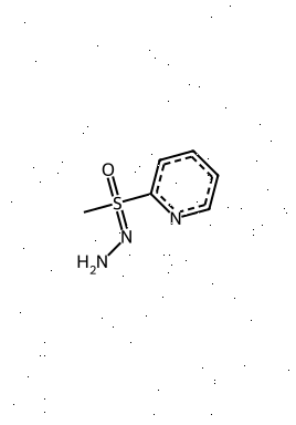 CS(=O)(=NN)c1ccccn1